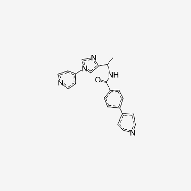 CC(NC(=O)c1ccc(-c2ccncc2)cc1)c1cn(-c2ccncc2)cn1